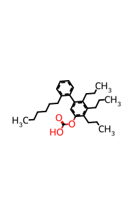 CCCCCCc1ccccc1-c1cc(OC(=O)O)c(CCC)c(CCC)c1CCC